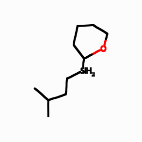 CC(C)CC[SiH2]C1CCCCO1